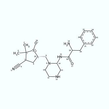 CC1(C)C(C#N)C[C@@H](CN2CCNCC2NC(=O)C(N)Cc2ccccc2)[S+]1[O-]